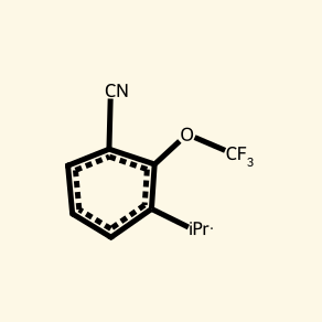 C[C](C)c1cccc(C#N)c1OC(F)(F)F